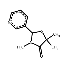 CN1C(=O)C(C)(C)SC1c1cccnc1